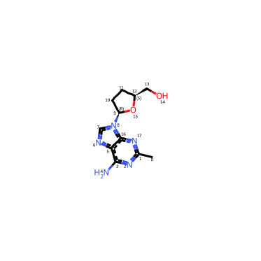 Cc1nc(N)c2ncn([C@H]3CC[C@@H](CO)O3)c2n1